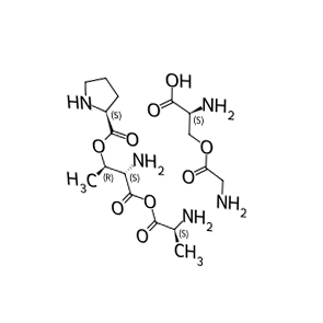 C[C@H](N)C(=O)OC(=O)[C@@H](N)[C@@H](C)OC(=O)[C@@H]1CCCN1.NCC(=O)OC[C@H](N)C(=O)O